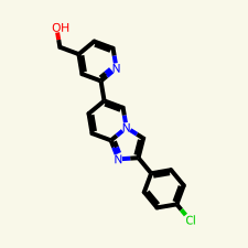 OCc1ccnc(-c2ccc3nc(-c4ccc(Cl)cc4)cn3c2)c1